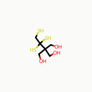 OCC(CO)(CO)C(S)(S)CS